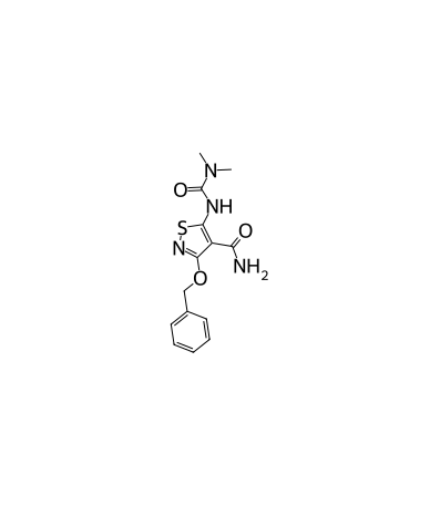 CN(C)C(=O)Nc1snc(OCc2ccccc2)c1C(N)=O